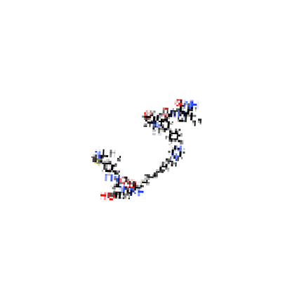 CCN(c1cc(-c2ccc(CN3CCN(CCCCCCCCCCCC(=O)NC(C(=O)N4C[C@H](O)C[C@H]4C(=O)NCc4ccc(-c5scnc5C)cc4)C(C)(C)C)CC3)cc2)cc(C(=O)NCc2c(C)cc(C)[nH]c2=O)c1C)C1CCOCC1